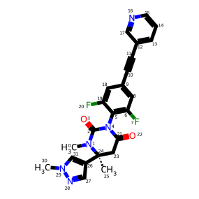 CN1C(=O)N(c2c(F)cc(C#Cc3cccnc3)cc2F)C(=O)C[C@@]1(C)c1cnn(C)c1